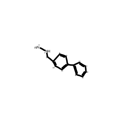 CCCNCc1ccc(-c2cc[c]cc2)cc1